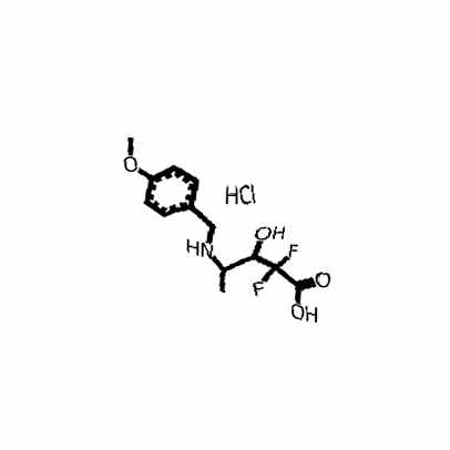 COc1ccc(CNC(C)C(O)C(F)(F)C(=O)O)cc1.Cl